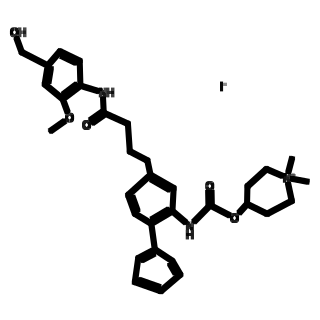 COc1cc(CO)ccc1NC(=O)CCCc1ccc(-c2ccccc2)c(NC(=O)OC2CC[N+](C)(C)CC2)c1.[I-]